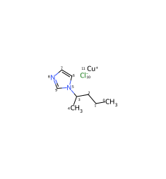 CCCC(C)n1ccnc1.[Cl-].[Cu+]